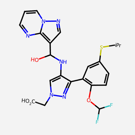 CC(C)Sc1ccc(OC(F)F)c(-c2nn(CC(=O)O)cc2NC(O)c2cnn3cccnc23)c1